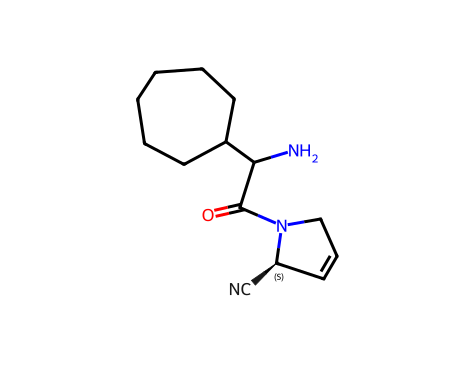 N#C[C@@H]1C=CCN1C(=O)C(N)C1CCCCCC1